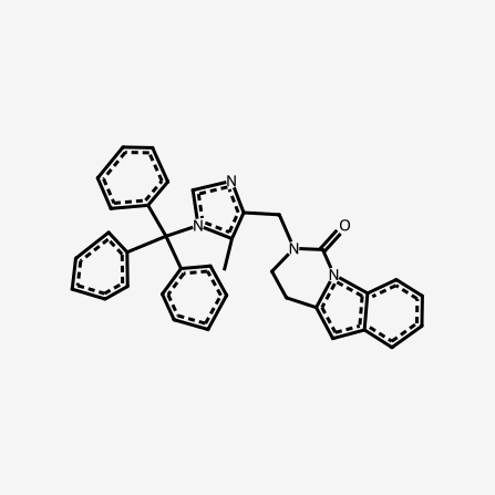 Cc1c(CN2CCc3cc4ccccc4n3C2=O)ncn1C(c1ccccc1)(c1ccccc1)c1ccccc1